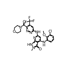 COc1c(Cl)cccc1Nc1cc(Nc2cc(C(F)(F)F)c(C(=O)N3CCOCC3)nn2)nc2[nH]n(C)c(=O)c12